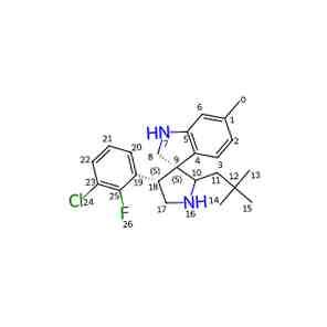 Cc1ccc2c(c1)NC[C@@]21C(CC(C)(C)C)NC[C@@H]1c1cccc(Cl)c1F